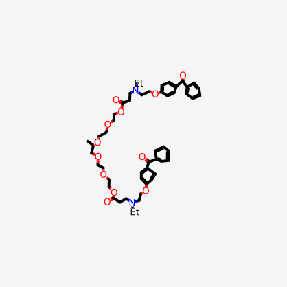 CCN(CCOc1ccc(C(=O)c2ccccc2)cc1)CCC(=O)OCCOCCOCC(C)OCCOCCOC(=O)CCN(CC)CCOc1ccc(C(=O)c2ccccc2)cc1